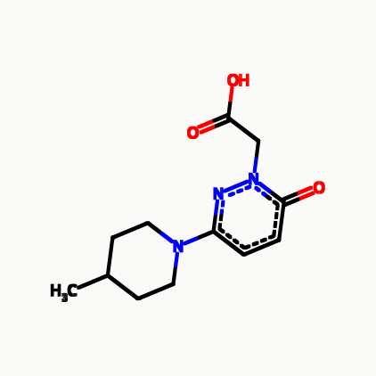 CC1CCN(c2ccc(=O)n(CC(=O)O)n2)CC1